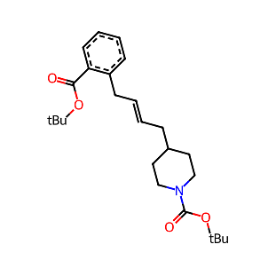 CC(C)(C)OC(=O)c1ccccc1CC=CCC1CCN(C(=O)OC(C)(C)C)CC1